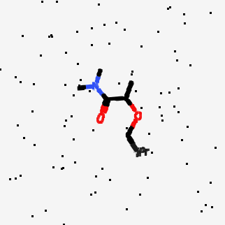 CC(C)COC(C)C(=O)N(C)C